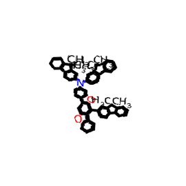 CC1(C)C2=C(CCC=C2)c2ccc(N(c3ccc4c(c3)C(C)(C)c3ccccc3-4)c3ccc4c(c3)oc3c(-c5ccc6c(c5)C(C)(C)c5ccccc5-6)c5c(cc34)oc3ccccc35)cc21